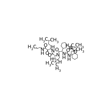 C=CCNC(=O)C(=O)C(CCC(C)C)NC(=O)[C@@H]1[C@@H]2[C@H](CN1C(=O)[C@@H](NC(=O)NC1(CS(=O)(=O)C(C)(C)C)CCCCC1)C1CCCCC1)C2(C)C